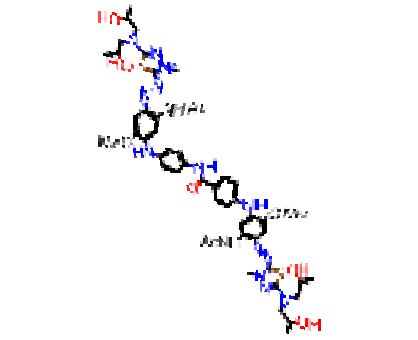 COc1cc(N=Nc2sc(N(CC(C)O)CC(C)O)n[n+]2C)c(NC(C)=O)cc1Nc1ccc(NC(=O)c2ccc(Nc3cc(NC(C)=O)c(N=Nc4sc(N(CC(C)O)CC(C)O)n[n+]4C)cc3OC)cc2)cc1